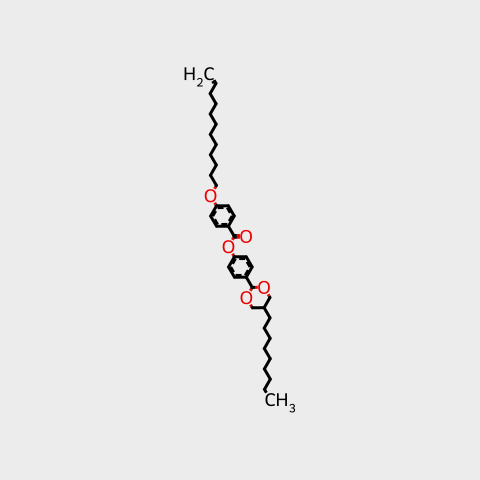 C=CCCCCCCCCCCOc1ccc(C(=O)Oc2ccc(C3OCC(CCCCCCCCC)CO3)cc2)cc1